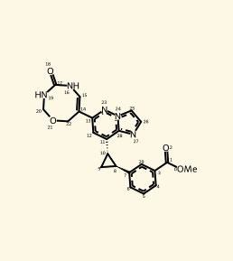 COC(=O)c1cccc([C@H]2C[C@@H]2c2cc(/C3=C/NC(=O)NCOC3)nn3ccnc23)c1